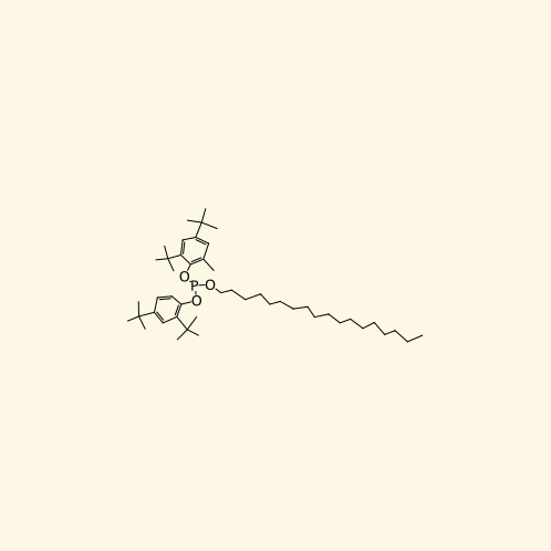 CCCCCCCCCCCCCCCCCCOP(Oc1ccc(C(C)(C)C)cc1C(C)(C)C)Oc1c(C)cc(C(C)(C)C)cc1C(C)(C)C